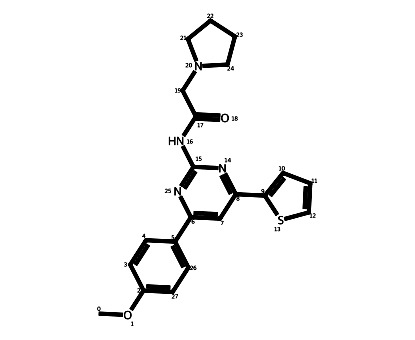 COc1ccc(-c2cc(-c3cccs3)nc(NC(=O)CN3CCCC3)n2)cc1